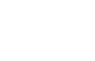 COc1cc2[nH]c(SCc3nccc(SCCCCl)c3C)nc2cc1F